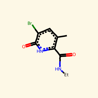 CCNC(=O)c1[nH]c(=O)c(Br)cc1C